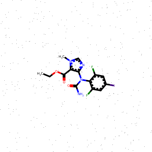 CCOC(=O)c1c(N(C(N)=O)c2c(F)cc(I)cc2F)ncn1C